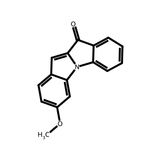 COc1ccc2cc3n(c2c1)-c1ccccc1C3=O